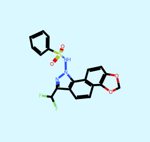 O=S(=O)(Nn1nc(C(F)F)c2ccc3c4c(ccc3c21)OCO4)c1ccccc1